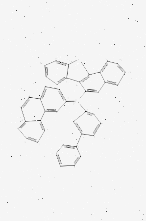 c1ccc(-c2cccc(N(c3ccc4ccc5ccccc5c4c3)c3cc4ccccc4c4sc5ccccc5c34)c2)cc1